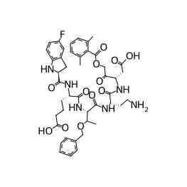 Cc1cccc(C)c1C(=O)OCC(=O)[C@H](CC(=O)O)NC(=O)[C@H](CCN)NC(=O)[C@@H](NC(=O)[C@H](CCCC(=O)O)NC(=O)[C@@H]1Cc2cc(F)ccc2N1)C(C)OCc1ccccc1